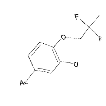 CC(=O)c1ccc(OCC(C)(F)F)c(Cl)c1